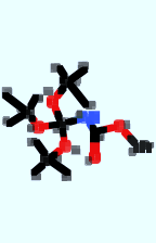 CCCOC(=O)N[Si](O[Si](C)(C)C)(O[Si](C)(C)C)O[Si](C)(C)C